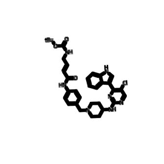 CC(C)(C)OC(=O)NCC=CC(=O)Nc1ccc(CN2CCC(Nc3ncc(Cl)c(-c4c[nH]c5ccccc45)n3)CC2)cc1